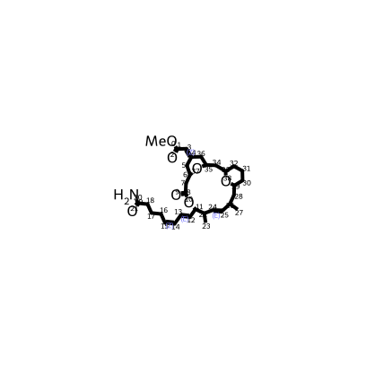 COC(=O)/C=C1\CC2CC(=O)OC(/C=C/C=C\CCCC(N)=O)C(C)/C=C/C(C)CC3CCCC(CC(C1)O2)O3